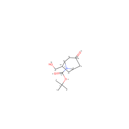 CC(C)(C)OC(=O)N1C2CC(=O)CC1C(CO)C2